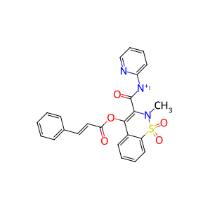 CN1C(C(=O)[N+]c2ccccn2)=C(OC(=O)C=Cc2ccccc2)c2ccccc2S1(=O)=O